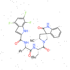 CC(C)C(NC(=O)c1cc2c(F)cc(F)c(F)c2[nH]1)C(=O)N[C@@H](CC(C)(C)C)C(=O)N1C[C@]2(C[C@H]1C#N)C(=O)Nc1ccccc12